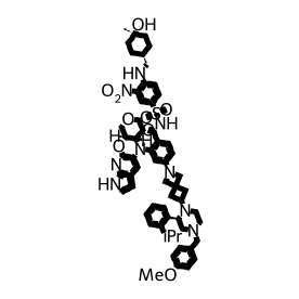 COc1ccc(CN2CCN(C3CC4(C3)CN(c3ccc(C(=O)NS(=O)(=O)c5ccc(NC[C@H]6CC[C@](C)(O)CC6)c([N+](=O)[O-])c5)c(N5c6cc7cc[nH]c7nc6O[C@H]6COCC[C@@H]65)c3)C4)[C@H](c3ccccc3C(C)C)C2)cc1